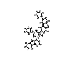 c1ccc(C2=NC(c3cccc4c3sc3ccccc34)NC(c3ccc4sc5ccc(-c6ccccc6)cc5c4c3)=N2)cc1